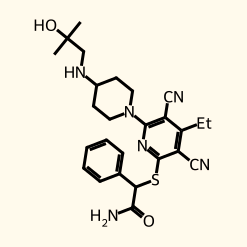 CCc1c(C#N)c(SC(C(N)=O)c2ccccc2)nc(N2CCC(NCC(C)(C)O)CC2)c1C#N